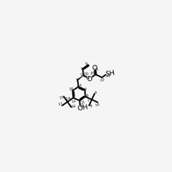 C=C[C@H](Cc1cc(C(C)(C)C)c(O)c(C(C)(C)C)c1)OC(=O)CS